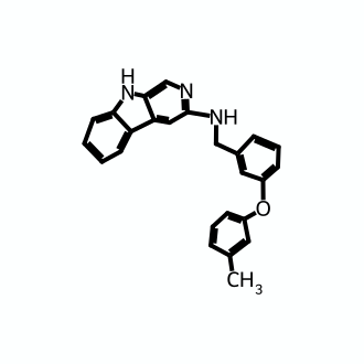 Cc1cccc(Oc2cccc(CNc3cc4c(cn3)[nH]c3ccccc34)c2)c1